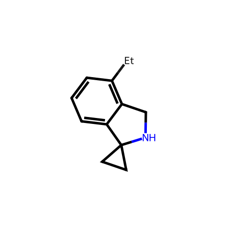 CCc1cccc2c1CNC21CC1